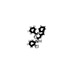 O=C(Cc1cc2ccccc2n1Cc1ccccc1)Nc1ccccc1Cl